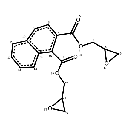 O=C(OCC1CO1)c1ccc2ccccc2c1C(=O)OCC1CO1